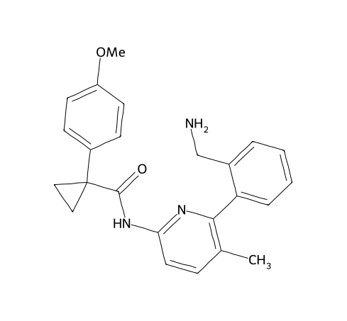 COc1ccc(C2(C(=O)Nc3ccc(C)c(-c4ccccc4CN)n3)CC2)cc1